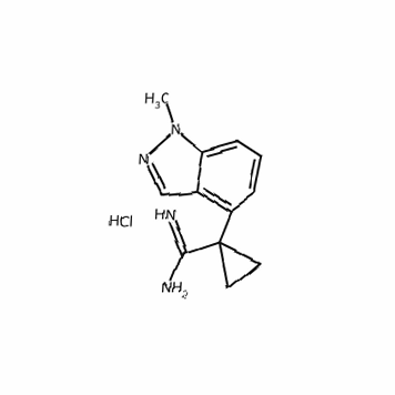 Cl.Cn1ncc2c(C3(C(=N)N)CC3)cccc21